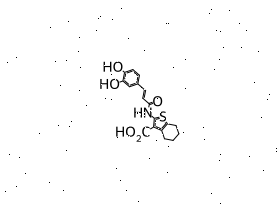 O=C(/C=C/c1ccc(O)c(O)c1)Nc1sc2c(c1C(=O)O)CCCC2